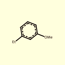 CCc1[c]ccc(OC)c1